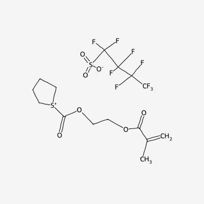 C=C(C)C(=O)OCCOC(=O)[S+]1CCCC1.O=S(=O)([O-])C(F)(F)C(F)(F)C(F)(F)C(F)(F)F